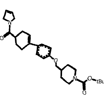 CC(C)(C)OC(=O)N1CCC(COc2ccc(C3=CCC(C(=O)N4CC=CC4)CC3)cc2)CC1